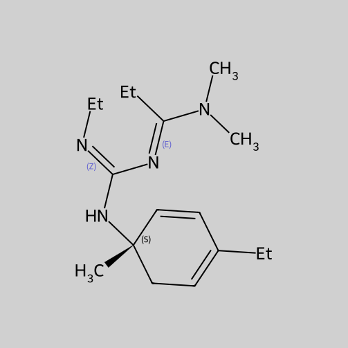 CC/N=C(\N=C(/CC)N(C)C)N[C@]1(C)C=CC(CC)=CC1